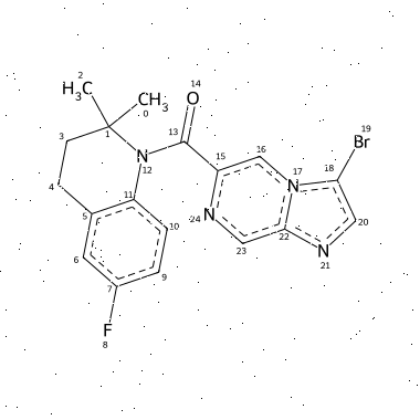 CC1(C)CCc2cc(F)ccc2N1C(=O)c1cn2c(Br)cnc2cn1